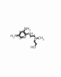 CN(CCO)CCNc1ncc(N)cc1N